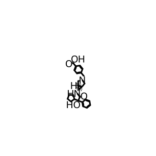 O=C(O)c1ccc(CN2CC3[C@H](C2)[C@H]3NC(=O)C(O)(c2ccccc2)C2CCCC2)cc1